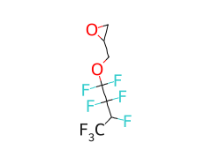 FC(C(F)(F)F)C(F)(F)C(F)(F)OCC1CO1